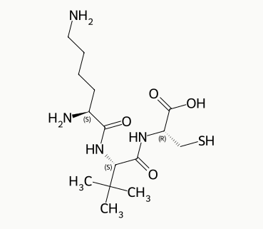 CC(C)(C)[C@H](NC(=O)[C@@H](N)CCCCN)C(=O)N[C@@H](CS)C(=O)O